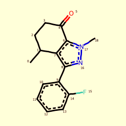 CC1CCC(=O)c2c1c(-c1ccccc1F)nn2C